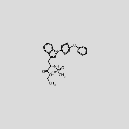 CCOC(=O)C(Cc1cn(-c2ccc(Oc3ccccc3)cc2)c2ccccc12)NS(C)(=O)=O